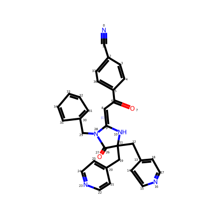 N#Cc1ccc(C(=O)/C=C2\NC(Cc3ccncc3)(Cc3ccncc3)C(=O)N2Cc2ccccc2)cc1